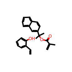 C=C(C)C(=O)OC(C)(C)c1ccc2ccccc2c1.C=Cc1ccccc1O